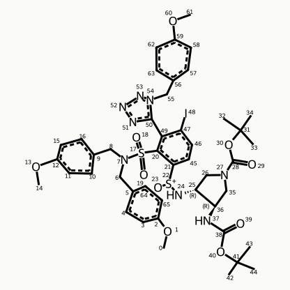 COc1ccc(CN(Cc2ccc(OC)cc2)S(=O)(=O)c2c([S+]([O-])N[C@@H]3CN(C(=O)OC(C)(C)C)C[C@H]3NC(=O)OC(C)(C)C)ccc(I)c2-c2nnnn2Cc2ccc(OC)cc2)cc1